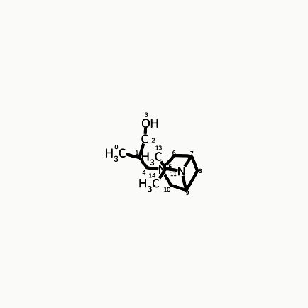 CC(CO)CN1CC2CC(C1)N2C(C)C